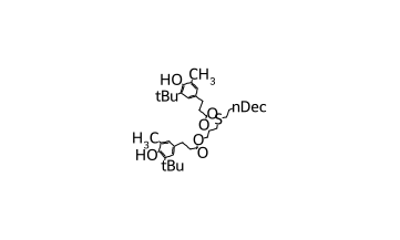 CCCCCCCCCCCCSCC(COC(=O)CCc1cc(C)c(O)c(C(C)(C)C)c1)OC(=O)CCc1cc(C)c(O)c(C(C)(C)C)c1